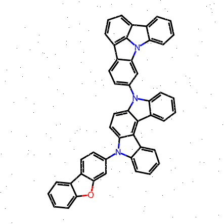 c1ccc2c(c1)oc1cc(-n3c4ccccc4c4c5c6ccccc6n(-c6ccc7c8cccc9c%10ccccc%10n(c7c6)c98)c5ccc43)ccc12